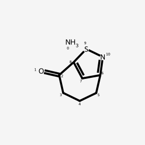 N.O=C1CCCc2cc1sn2